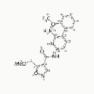 COCc1oncc1C(=O)Nc1ccc(-c2ccccc2OC(F)(F)F)c(N)n1